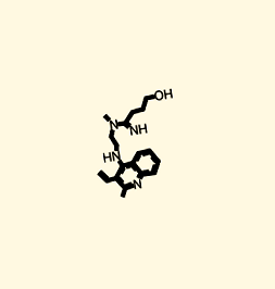 C=Cc1c(C)nc2ccccc2c1NCCN(C)C(=N)CCCO